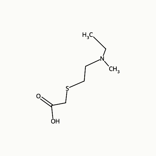 CCN(C)CCSCC(=O)O